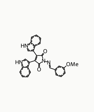 COc1cccc(C=NN2C(=O)C(c3c[nH]c4ccccc34)=C(c3c[nH]c4ccccc34)C2=O)c1